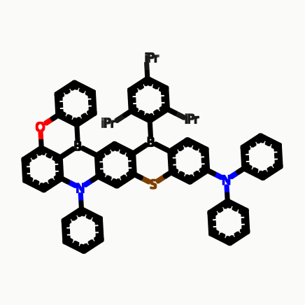 CC(C)c1cc(C(C)C)c(B2c3ccc(N(c4ccccc4)c4ccccc4)cc3Sc3cc4c(cc32)B2c3ccccc3Oc3cccc(c32)N4c2ccccc2)c(C(C)C)c1